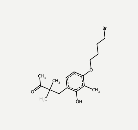 CC(=O)C(C)(C)Cc1ccc(OCCCCBr)c(C)c1O